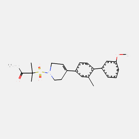 CCOc1cccc(-c2ccc(C3=CCN(S(=O)(=O)C(C)(C)C(=O)OC)CC3)cc2C)c1